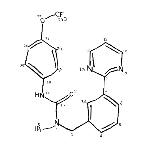 CC(C)N(Cc1cccc(-c2ncccn2)c1)C(=O)Nc1ccc(OC(F)(F)F)cc1